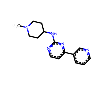 CN1CCC(Nc2nccc(-c3cccnc3)n2)CC1